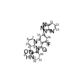 COC(=O)c1cccnc1N(C(=O)c1ccc(-n2nnc3cccnc32)cc1F)[C@@H]1CCCNC1